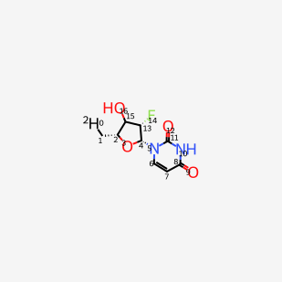 [2H]C[C@H]1O[C@@H](n2ccc(=O)[nH]c2=O)[C@@H](F)C1O